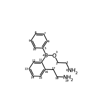 NCCOB(c1ccccc1)c1ccccc1CCN